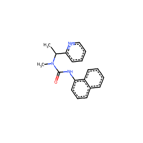 CC(c1ccccn1)N(C)C(=O)Nc1cccc2ccccc12